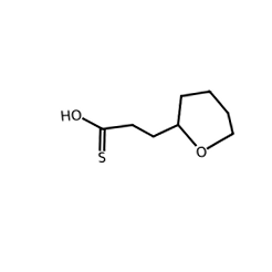 OC(=S)CCC1CCCCO1